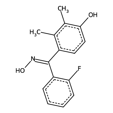 Cc1c(O)ccc(C(=NO)c2ccccc2F)c1C